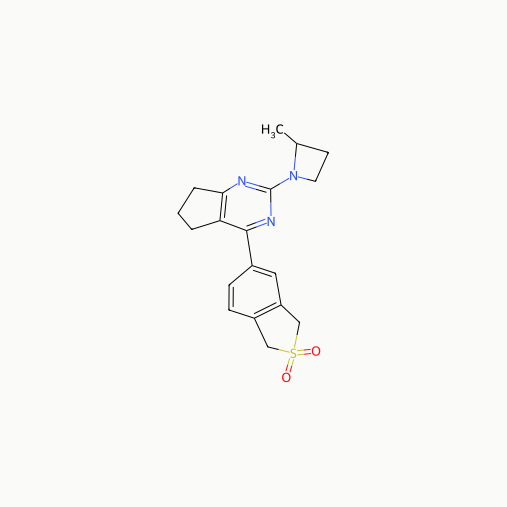 CC1CCN1c1nc2c(c(-c3ccc4c(c3)CS(=O)(=O)C4)n1)CCC2